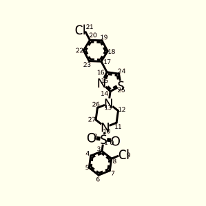 O=S(=O)(c1ccccc1Cl)N1CCN(c2nc(-c3ccc(Cl)cc3)cs2)CC1